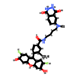 CCN(CCCCNC(=O)c1ccc(-c2c3cc(F)c(=O)cc-3oc3cc(O)c(F)cc23)c(C(=O)O)c1)c1ccc2c(=O)[nH][nH]c(=O)c2c1